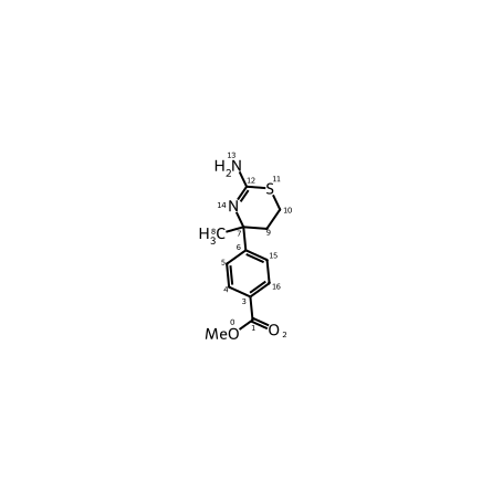 COC(=O)c1ccc(C2(C)CCSC(N)=N2)cc1